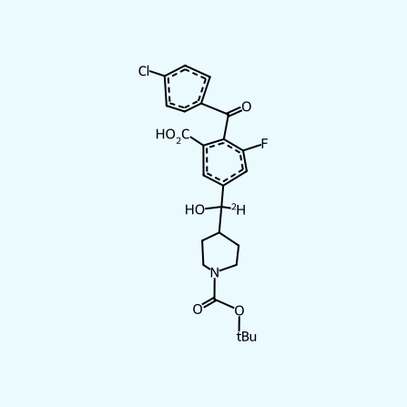 [2H]C(O)(c1cc(F)c(C(=O)c2ccc(Cl)cc2)c(C(=O)O)c1)C1CCN(C(=O)OC(C)(C)C)CC1